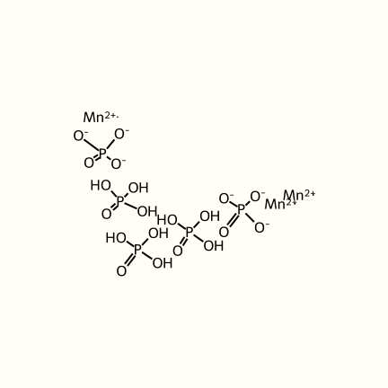 O=P(O)(O)O.O=P(O)(O)O.O=P(O)(O)O.O=P([O-])([O-])[O-].O=P([O-])([O-])[O-].[Mn+2].[Mn+2].[Mn+2]